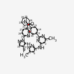 Cc1cc(Nc2cc(C)[nH]n2)nc(-c2ccc(N3CC4CC(C3)N4C(=O)c3ccc(-n4cc(F)cn4)nc3)nc2)n1